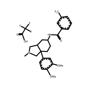 COc1ccc(C23CCC(NC(=O)c4cccc(C(F)(F)F)c4)CC2CN(C)C3)cc1OC.O=C(O)C(F)(F)F